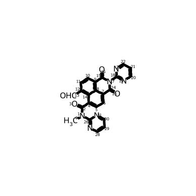 CN(C(=O)c1ccc2c3c(ccc(C=O)c13)C(=O)N(c1ncccn1)C2=O)c1ncccn1